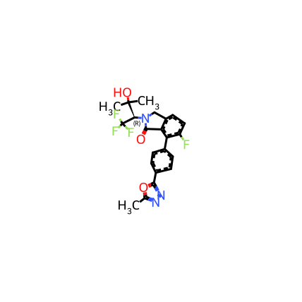 Cc1nnc(-c2ccc(-c3c(F)ccc4c3C(=O)N([C@H](C(C)(C)O)C(F)(F)F)C4)cc2)o1